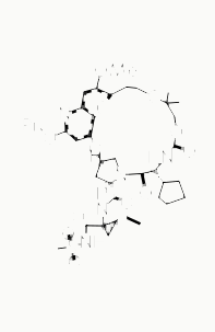 C=C[C@@H]1C[C@]1(NC(=O)[C@@H]1C[C@@H]2CN1C(=O)[C@H](C1CCCC1)NC(=O)OCC(C)(C)CCCc1cc3c(cc(OC(C)C)nc3cc1OC)O2)C(=O)NS(C)(=O)=O